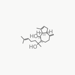 C=C1CC[C@@H](C(C)(O)CCC=C(C)C)[C@@H](O)[C@@H]2C(C)=CC[C@@H]12